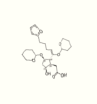 O=C(O)C[C@@H]1[C@@H](C(=CCCCc2ccco2)OC2CCCCO2)[C@H](OC2CCCCO2)C[C@@H]1O